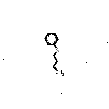 C=CCCSc1ccccc1